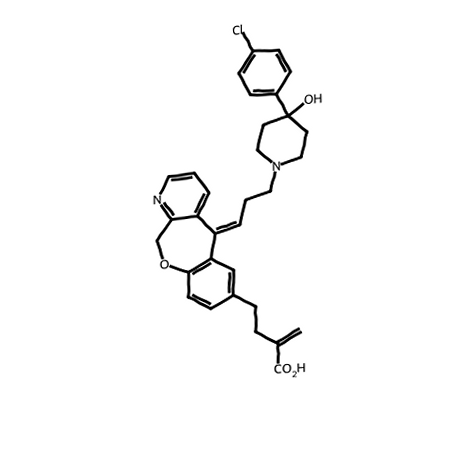 C=C(CCc1ccc2c(c1)/C(=C/CCN1CCC(O)(c3ccc(Cl)cc3)CC1)c1cccnc1CO2)C(=O)O